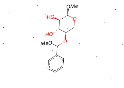 COC(O[C@@H]1CO[C@H](OC)[C@H](O)[C@H]1O)c1ccccc1